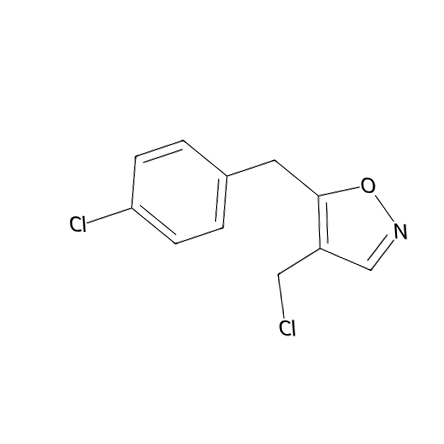 ClCc1cnoc1Cc1ccc(Cl)cc1